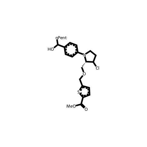 CCCCCC(O)c1ccc(N2CCC(Cl)[C@@H]2COCc2ccc(C(=O)OC)s2)cc1